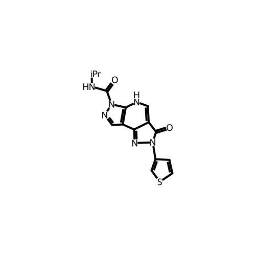 CC(C)NC(=O)n1ncc2c3nn(-c4ccsc4)c(=O)c-3c[nH]c21